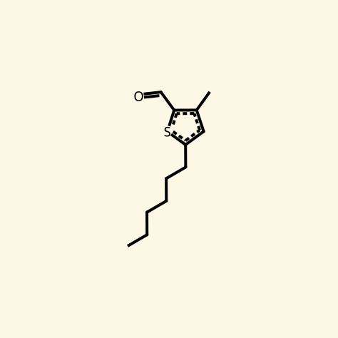 CCCCCCc1cc(C)c(C=O)s1